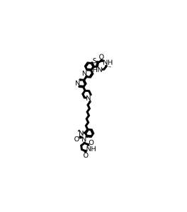 C[C@@H]1CNc2c(sc3ccc4nc(-c5cncc(C6CCN(CCCCCCCCc7cccc8c7n(C)c(=O)n8C7CCC(=O)NC7=O)CC6)c5)ccc4c23)C(=O)N1